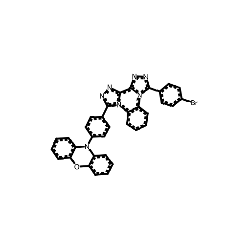 Brc1ccc(-c2nnc3c4nnc(-c5ccc(N6c7ccccc7Oc7ccccc76)cc5)n4c4ccccc4n23)cc1